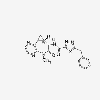 CN1C(=O)C(NC(=O)c2nnc(Cc3ccccc3)s2)[C@H]2CC2c2nccnc21